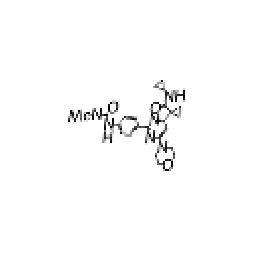 CNC(=O)Nc1ccc(-c2nc(N3CCOCC3)cc(C3(C(=O)NC4CC4)CC3)n2)cc1